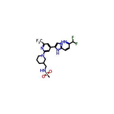 CS(=O)(=O)NCC1CCCN(c2cc(-c3cnc(/C=C\C(=N)C(F)F)[nH]3)cc(C(F)(F)F)n2)C1